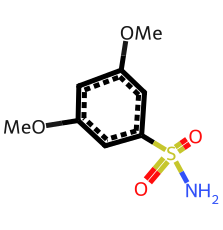 COc1cc(OC)cc(S(N)(=O)=O)c1